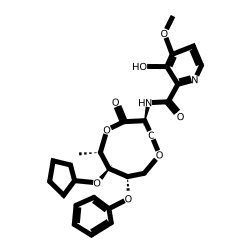 COc1ccnc(C(=O)N[C@H]2COC[C@H](Oc3ccccc3)[C@@H](OC3CCCC3)[C@H](C)OC2=O)c1O